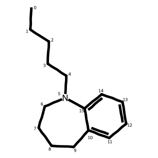 CCCCCN1CCCCc2ccccc21